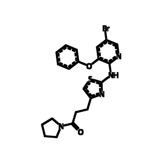 O=C(CCc1csc(Nc2ncc(Br)cc2Oc2ccccc2)n1)N1CCCC1